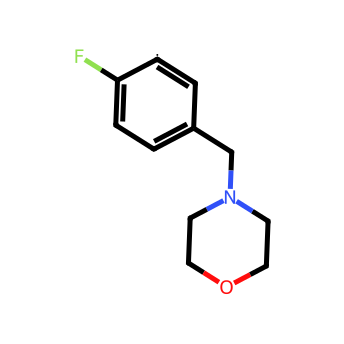 Fc1[c]cc(CN2CCOCC2)cc1